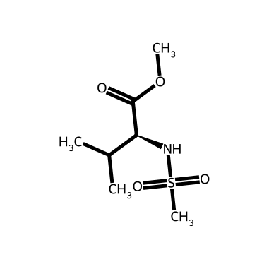 COC(=O)[C@@H](NS(C)(=O)=O)C(C)C